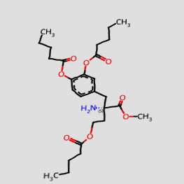 CCCCC(=O)OCC[C@@](N)(Cc1ccc(OC(=O)CCCC)c(OC(=O)CCCC)c1)C(=O)OC